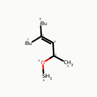 CCC(C)C(=CC(C)O[SiH3])C(C)CC